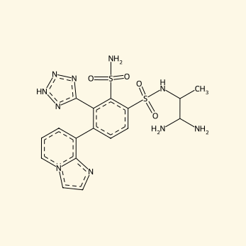 CC(NS(=O)(=O)c1ccc(-c2cccn3ccnc23)c(-c2nn[nH]n2)c1S(N)(=O)=O)C(N)N